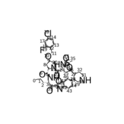 CCC[C@H](NC(=O)[C@@H]1C[C@@H](OCc2ccc(Cl)cc2F)CN1C(=O)[C@@H](CCC1CCNCC1)NS(C)(=O)=O)C(=O)c1nc2ccccc2o1